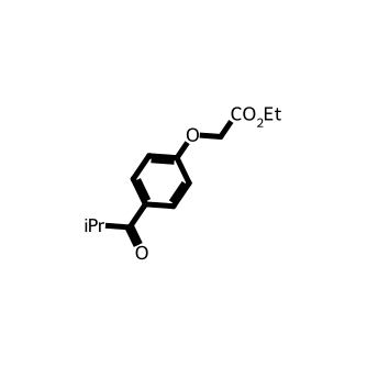 CCOC(=O)COc1ccc(C(=O)C(C)C)cc1